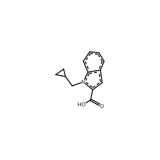 O=C(O)c1cc2ccccc2n1CC1CC1